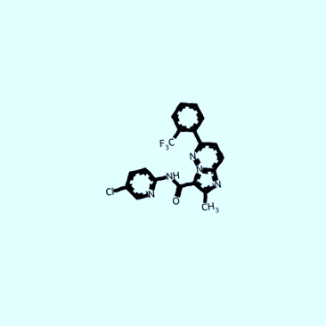 Cc1nc2ccc(-c3ccccc3C(F)(F)F)nn2c1C(=O)Nc1ccc(Cl)cn1